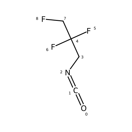 O=C=NCC(F)(F)CF